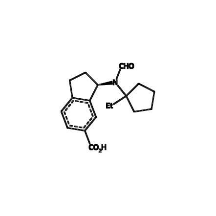 CCC1(N(C=O)[C@@H]2CCc3ccc(C(=O)O)cc32)CCCC1